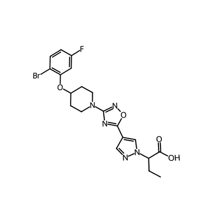 CCC(C(=O)O)n1cc(-c2nc(N3CCC(Oc4cc(F)ccc4Br)CC3)no2)cn1